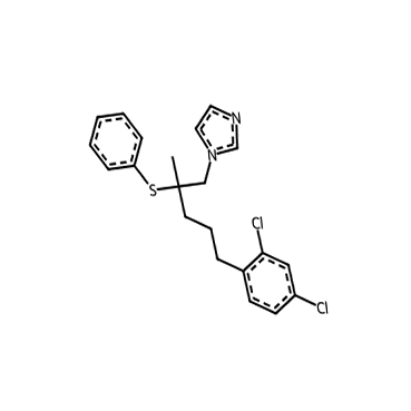 CC(CCCc1ccc(Cl)cc1Cl)(Cn1ccnc1)Sc1ccccc1